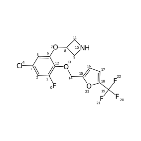 Fc1cc(Cl)cc(OC2CNC2)c1OCc1ccc(C(F)(F)F)o1